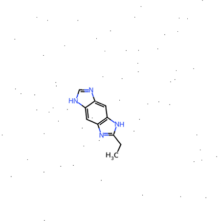 CCc1nc2cc3[nH]cnc3cc2[nH]1